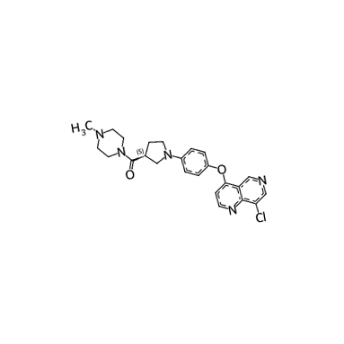 CN1CCN(C(=O)[C@H]2CCN(c3ccc(Oc4ccnc5c(Cl)cncc45)cc3)C2)CC1